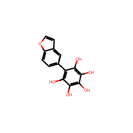 Oc1c(O)c(O)c(-c2ccc3occc3c2)c(O)c1O